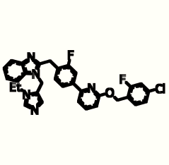 CCn1cncc1Cn1c(Cc2ccc(-c3cccc(OCc4ccc(Cl)cc4F)n3)cc2F)nc2ccccc21